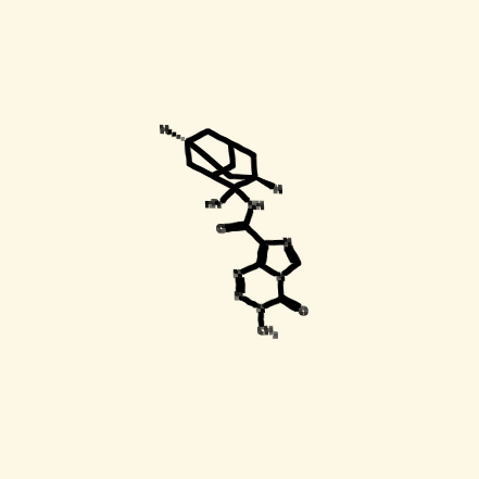 CCCC1(NC(=O)c2ncn3c(=O)n(C)nnc23)C2CC3C[C@H](C2)C[C@@H]1C3